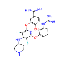 N=C(N)Nc1cccc(Oc2nc(Oc3cc(C(=N)N)ccc3O)c(F)c(NC3CCNCC3)c2F)c1